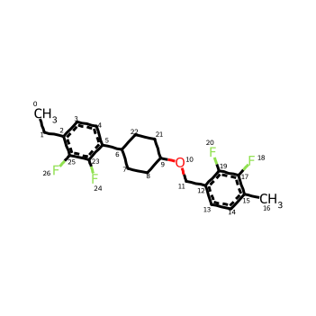 CCc1ccc(C2CCC(OCc3ccc(C)c(F)c3F)CC2)c(F)c1F